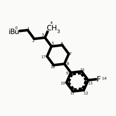 CCC(C)CCC(C)C1CCC(c2cccc(F)c2)CC1